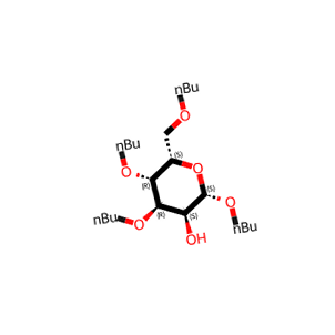 CCCCOC[C@@H]1O[C@H](OCCCC)[C@@H](O)[C@@H](OCCCC)[C@@H]1OCCCC